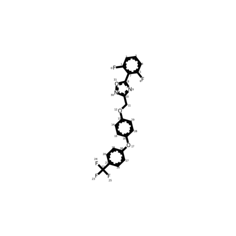 Fc1cccc(F)c1-c1nc(COc2ccc(Oc3ccc(C(F)(F)F)cc3)cc2)no1